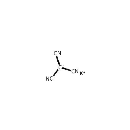 N#C[C-](C#N)C#N.[K+]